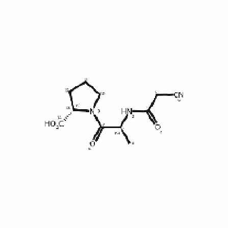 C[C@H](NC(=O)CC#N)C(=O)N1CCC[C@H]1C(=O)O